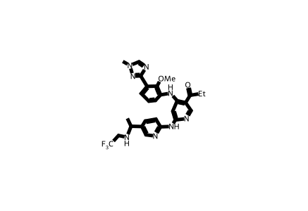 CCC(=O)c1cnc(Nc2ccc(C(C)NCC(F)(F)F)cn2)cc1Nc1cccc(-c2ncn(C)n2)c1OC